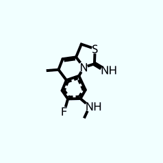 CNc1cc2c(cc1F)C(C)C=C1CSC(=N)N12